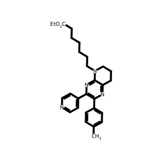 CCOC(=O)CCCCCCN1CCCc2nc(-c3ccc(C)cc3)c(-c3ccncc3)nc21